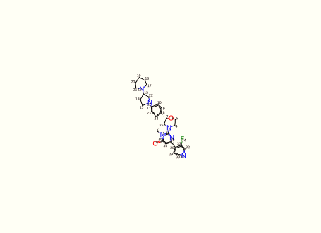 Cn1c(N2CCO[C@@H](c3ccc(N4CC[C@@H](N5CCCCC5)C4)cc3)C2)nc(-c2ccncc2F)cc1=O